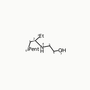 CCCC(C)CC(CC)NCCO